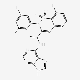 C[C@H](Nc1ncnc2[nH]cnc12)C1=Cc2cccc(F)c2S(=O)(=O)N1c1cc(F)cc(F)c1